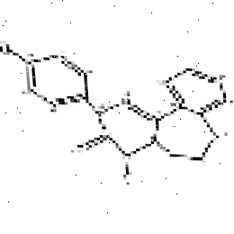 O=C1C(Cl)C2CCSc3ccccc3C2=NN1c1ccc(Cl)cc1